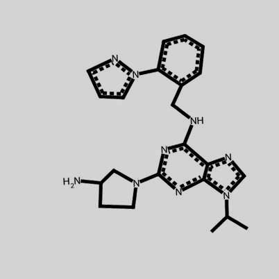 CC(C)n1cnc2c(NCc3ccccc3-n3cccn3)nc(N3CCC(N)C3)nc21